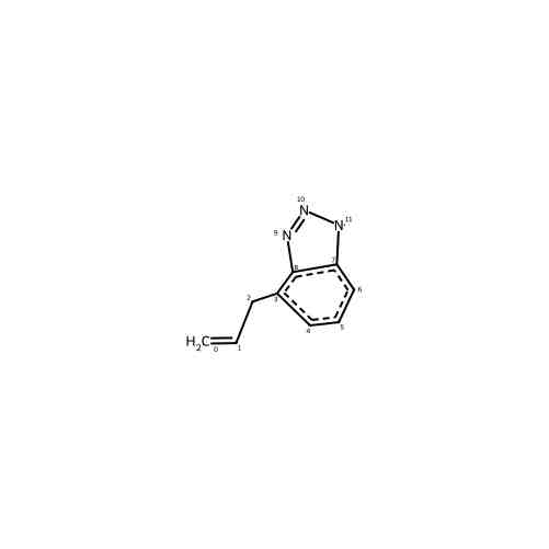 C=CCc1cccc2c1N=N[N]2